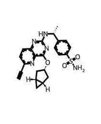 C#Cc1ccc2nc(N[C@H](C)c3ccc(S(N)(=O)=O)cc3)nc(O[C@@H]3C[C@@H]4C[C@@H]4C3)c2n1